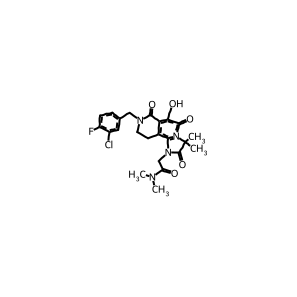 CN(C)C(=O)CN1C(=O)C(C)(C)n2c1c1c(c(O)c2=O)C(=O)N(Cc2ccc(F)c(Cl)c2)CC1